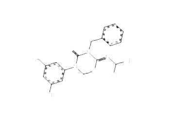 CC(C)N=C1SCN(c2cc(Cl)cc(Cl)c2)C(=O)N1Cc1ccccc1